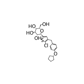 OC[C@H]1O[C@@H](c2cc(Cc3ccc(OC4CCCC4)cc3)c(Cl)s2)[C@H](O)[C@@H](O)[C@@H]1O